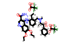 CCOc1cc2ncc(C(N)=O)c(Nc3cccc(CN(C)[C@H](C)[C@H](O)c4ccccc4)c3CC)c2cc1OCC.O=C(O)C(F)(F)F.O=C(O)C(F)(F)F